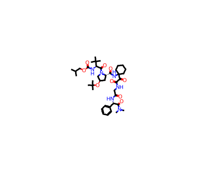 CC(C)COC(=O)N[C@H](C(=O)N1C[C@H](OC(C)(C)C)C[C@H]1C(=O)NC1(C(=O)C(=O)NCC(=O)N[C@H](C(=O)N(C)C)c2ccccc2)CCCCC1)C(C)(C)C